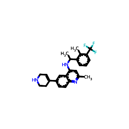 Cc1cc(NC(C)c2cccc(C(F)(F)F)c2C)c2cc(C3=CCNCC3)ccc2n1